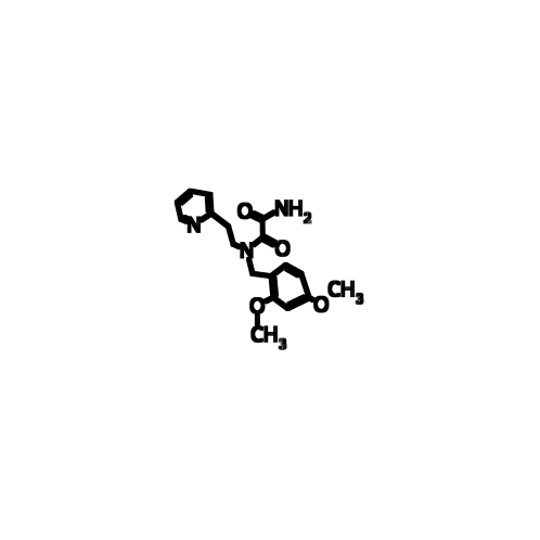 COc1ccc(CN(CCc2ccccn2)C(=O)C(N)=O)c(OC)c1